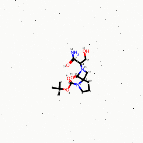 CC(C)(C)OC(=O)N1CCCC12CN(C(CO)C(N)=O)C2=O